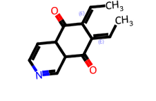 C/C=C1/C(=O)C2C=CN=CC2C(=O)/C1=C/C